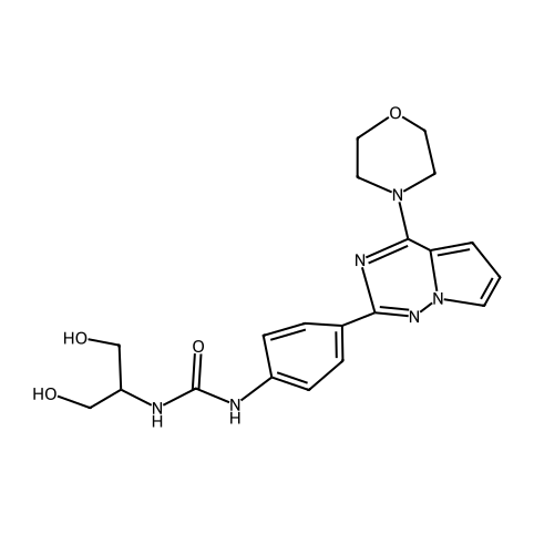 O=C(Nc1ccc(-c2nc(N3CCOCC3)c3cccn3n2)cc1)NC(CO)CO